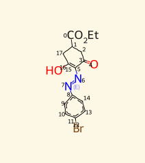 CCOC(=O)C1CC(=O)C(/N=N/c2ccc(Br)cc2)=C(O)C1